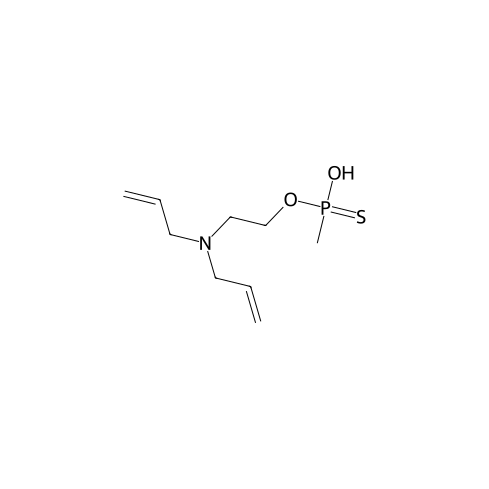 C=CCN(CC=C)CCOP(C)(O)=S